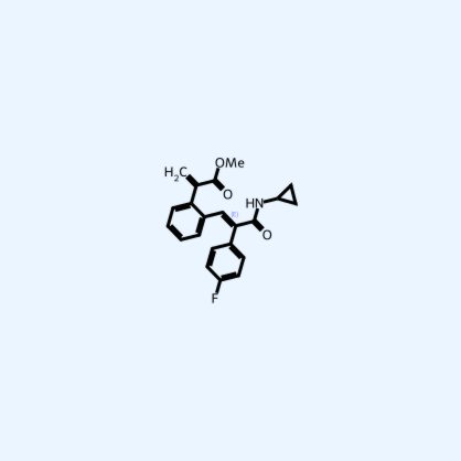 C=C(C(=O)OC)c1ccccc1/C=C(/C(=O)NC1CC1)c1ccc(F)cc1